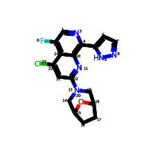 Fc1cnc(-c2ccn[nH]2)c2nc(N3CC4CCC(C3)O4)cc(Cl)c12